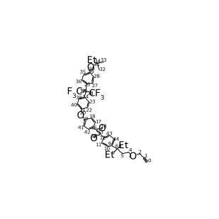 C#CCOCCC(CC)(CC)c1ccc(S(=O)(=O)c2ccc(Oc3ccc(C(c4ccc(OC(C)(C)CC)cc4)(C(F)(F)F)C(F)(F)F)cc3)cc2)cc1